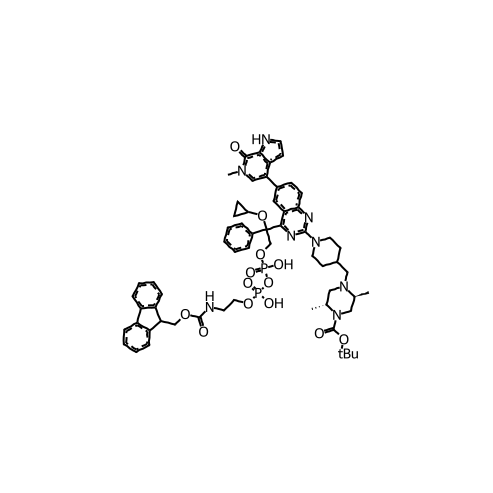 C[C@@H]1CN(CC2CCN(c3nc(C(COP(=O)(O)OP(=O)(O)OCCNC(=O)OCC4c5ccccc5-c5ccccc54)(OC4CC4)c4ccccc4)c4cc(-c5cn(C)c(=O)c6[nH]ccc56)ccc4n3)CC2)[C@@H](C)CN1C(=O)OC(C)(C)C